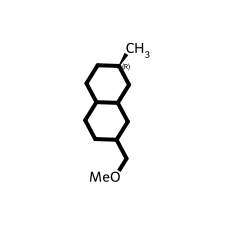 COCC1CCC2CC[C@@H](C)CC2C1